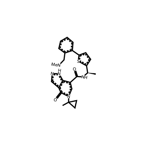 CNCc1ccccc1-c1ccc([C@@H](C)NC(=O)c2cn(C3(C)CC3)c(=O)c3cn[nH]c23)s1